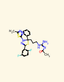 CC(=O)/N=C(/N)NCCCC1(c2ccccc2)SC(c2cc(F)ccc2F)=NN1c1nnc(C)s1